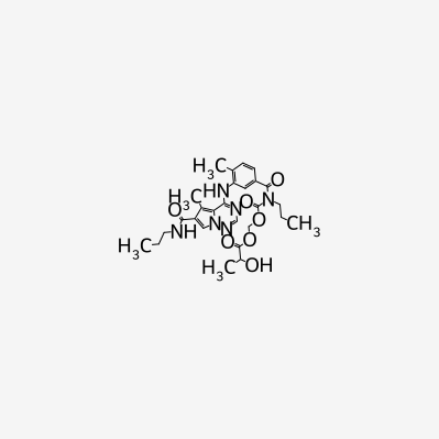 CCCNC(=O)c1cn2ncnc(Nc3cc(C(=O)N(CCC)C(=O)OCOC(=O)C(C)O)ccc3C)c2c1C